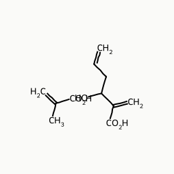 C=C(C)C(=O)O.C=CCC(O)C(=C)C(=O)O